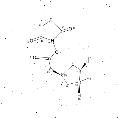 O=C(O[C@H]1C[C@@H]2C[C@@H]2C1)ON1C(=O)CCC1=O